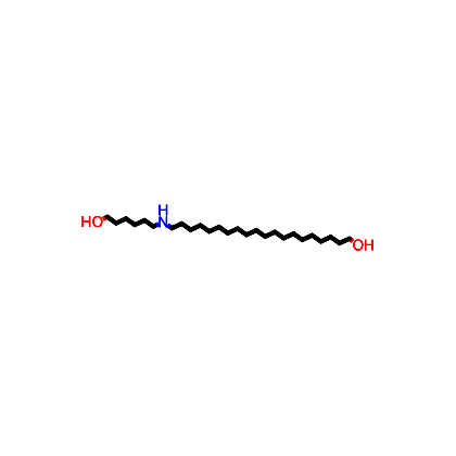 OCCCCCCCCCCCCCCCCCCCCNCCCCCCO